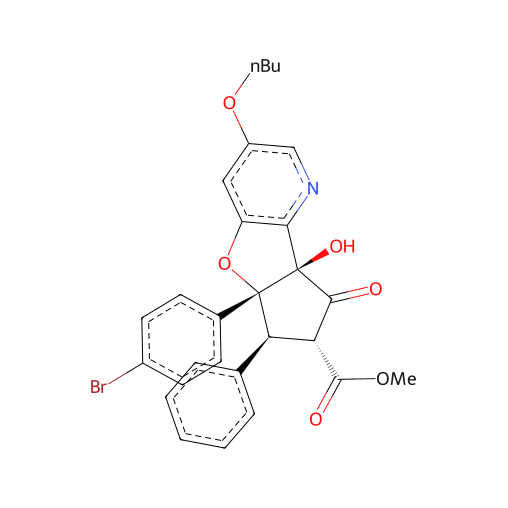 CCCCOc1cnc2c(c1)O[C@@]1(c3ccc(Br)cc3)[C@H](c3ccccc3)[C@@H](C(=O)OC)C(=O)[C@@]21O